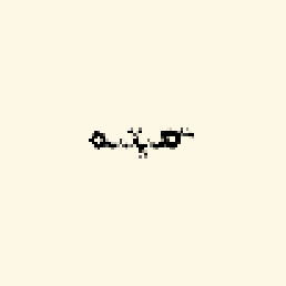 COc1ccc(CNC(=O)[C@H](CSCC2CCCC2)N(C)C)cc1